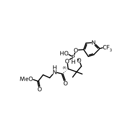 COC(=O)CCNC(=O)[C@@H]1O[PH](O)(Oc2ccc(C(F)(F)F)nc2)OCC1(C)C